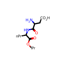 CCCC(NC(=O)C(N)CC(=O)O)C(=O)OC(C)C